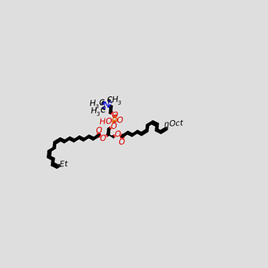 CC/C=C\C/C=C\C/C=C\CCCCCCCC(=O)O[C@H](COC(=O)CCC/C=C\C/C=C\C/C=C\CCCCCCCC)COP(=O)(O)OCC[N+](C)(C)C